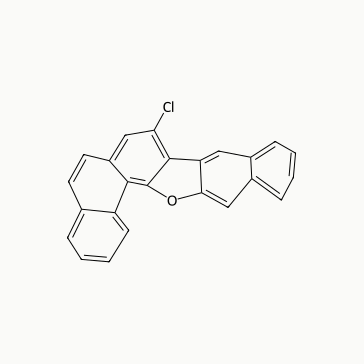 Clc1cc2ccc3ccccc3c2c2oc3cc4ccccc4cc3c12